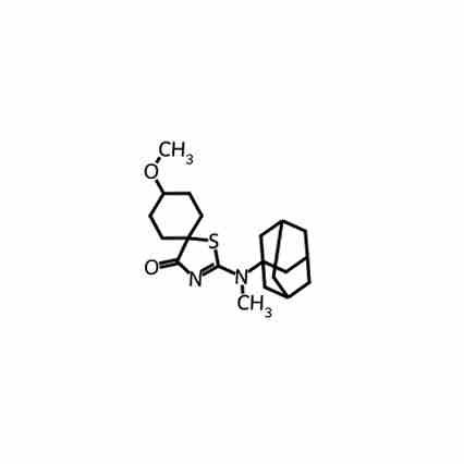 COC1CCC2(CC1)SC(N(C)C13CC4CC(CC(C4)C1)C3)=NC2=O